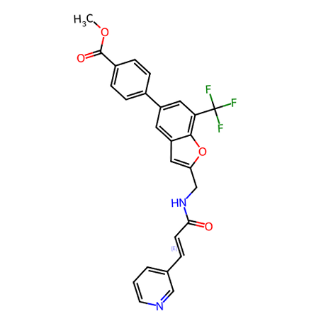 COC(=O)c1ccc(-c2cc(C(F)(F)F)c3oc(CNC(=O)/C=C/c4cccnc4)cc3c2)cc1